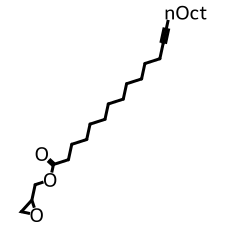 CCCCCCCCC#CCCCCCCCCCCCC(=O)OCC1CO1